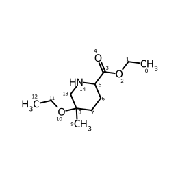 CCOC(=O)C1CCC(C)(OCC)CN1